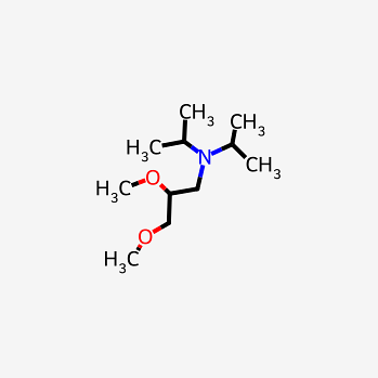 COCC(CN(C(C)C)C(C)C)OC